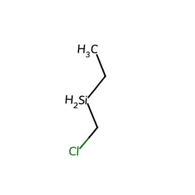 CC[SiH2]CCl